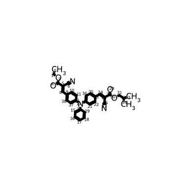 CCOC(=O)/C(C#N)=C/c1ccc(N(c2ccccc2)c2ccc(/C=C(\C#N)C(=O)OCC(C)C)cc2)cc1